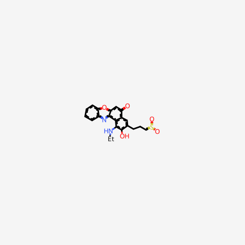 CCNc1c(O)c(CCC=S(=O)=O)cc2c(=O)cc3oc4ccccc4nc-3c12